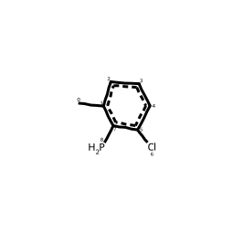 Cc1cccc(Cl)c1P